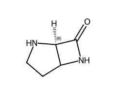 O=C1NC2CCN[C@@H]12